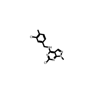 Cc1ccc(CNc2nc(Cl)nc3c2cnn3C)cc1Cl